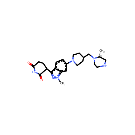 C[C@@H]1CNCCN1CC1CCN(c2ccc3c(C4CCC(=O)NC4=O)nn(C)c3c2)CC1